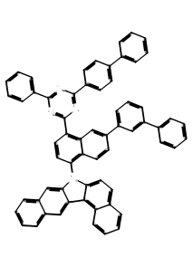 c1ccc(-c2ccc(-c3nc(-c4ccccc4)nc(-c4ccc(-n5c6cc7ccccc7cc6c6c7ccccc7ccc65)c5ccc(-c6cccc(-c7ccccc7)c6)cc45)n3)cc2)cc1